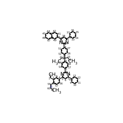 C=Cc1cc(-c2cc(-c3ccccc3)nc(-c3ccc(C(CC)(CC)c4ccc(-c5nc(-c6ccccc6)cc(-c6ccc7ccccc7c6)n5)cc4)cc3)n2)ccc1/C=C\C